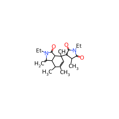 C=C1C2C(C)C(C)=CC(C)(C3C(=O)N(CC)C(=O)C3C)C2C(=O)N1CC